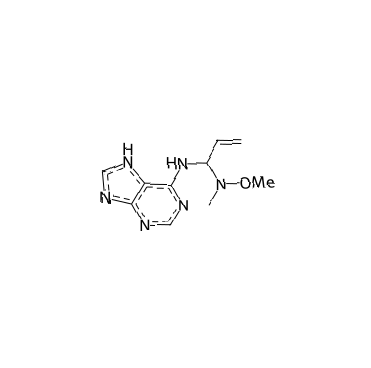 C=CC(Nc1ncnc2nc[nH]c12)N(C)OC